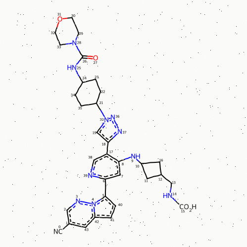 N#Cc1cnn2c(-c3cc(NC4CC(CNC(=O)O)C4)c(-c4cn(C5CCC(NC(=O)N6CCOCC6)CC5)nn4)cn3)ccc2c1